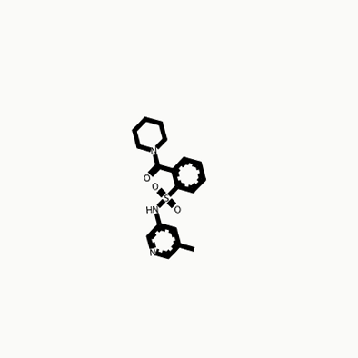 Cc1cncc(NS(=O)(=O)c2ccccc2C(=O)N2CCCCC2)c1